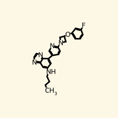 CCCCNc1cc(-c2ccc(N3CC(Oc4cccc(F)c4)C3)nc2)c2nccnc2c1